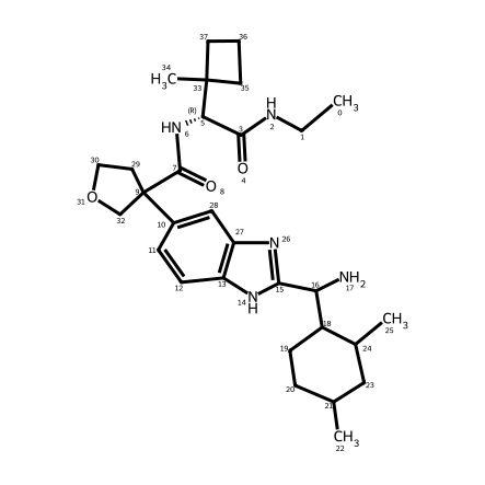 CCNC(=O)[C@H](NC(=O)C1(c2ccc3[nH]c(C(N)C4CCC(C)CC4C)nc3c2)CCOC1)C1(C)CCC1